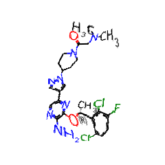 C[C@@H](Oc1nc(-c2cnn(C3CCN(C(=O)CN(C)C)CC3)c2)cnc1N)c1c(Cl)ccc(F)c1Cl